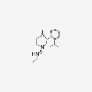 CCNSN1CCN(I)C(c2ccccc2C(C)C)C1